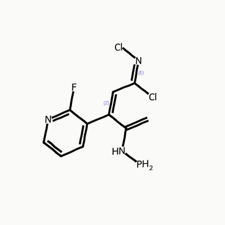 C=C(NP)/C(=C\C(Cl)=N/Cl)c1cccnc1F